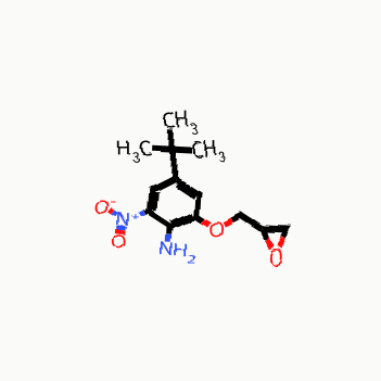 CC(C)(C)c1cc(OCC2CO2)c(N)c([N+](=O)[O-])c1